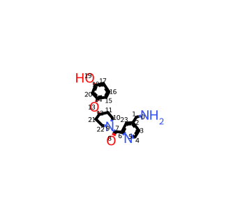 NCc1ccnc(C(=O)N2CCC(Oc3cccc(O)c3)CC2)c1